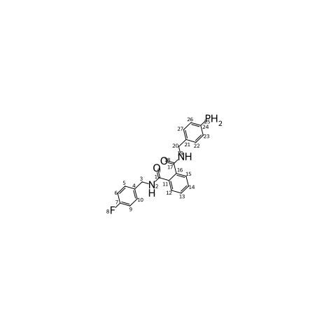 O=C(NCc1ccc(F)cc1)c1ccccc1C(=O)NCc1ccc(P)cc1